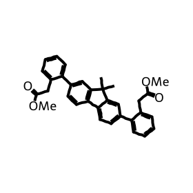 COC(=O)Cc1ccccc1-c1ccc2c(c1)C(C)(C)c1cc(-c3ccccc3CC(=O)OC)ccc1-2